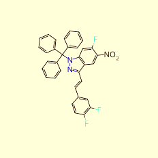 O=[N+]([O-])c1cc2c(C=Cc3ccc(F)c(F)c3)nn(C(c3ccccc3)(c3ccccc3)c3ccccc3)c2cc1F